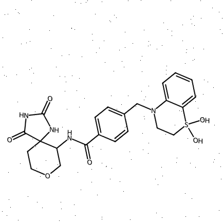 O=C1NC(=O)C2(CCOCC2NC(=O)c2ccc(CN3CCS(O)(O)c4ccccc43)cc2)N1